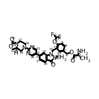 C[C@H](N)C(=O)OCc1ccc(OC(F)F)c(Cn2c3cc(-c4cnc(N5CCN6C(=O)OC[C@@H]6C5)nc4)ccc3c(=O)n2C)c1